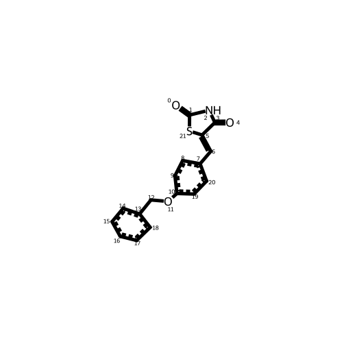 O=C1NC(=O)/C(=C/c2ccc(OCc3ccccc3)cc2)S1